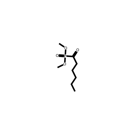 CCCCCC(=O)P(=O)(OC)OC